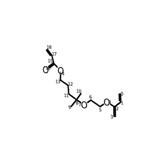 C=CC(=C)OCCOC(C)(C)CCCOC(=O)C=C